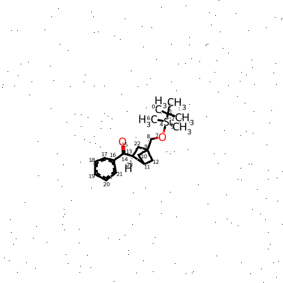 CC(C)(C)[Si](C)(C)OCC12CC(C1)[C@@H](C(=O)c1ccccc1)C2